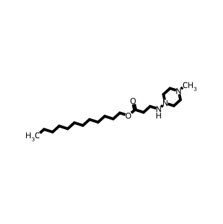 CCCCCCCCCCCCOC(=O)CCNN1CCN(C)CC1